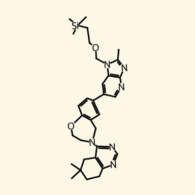 Cc1nc2ncc(-c3ccc4c(c3)CN(c3ncnc5c3CC(C)(C)CC5)CCO4)cc2n1COCC[Si](C)(C)C